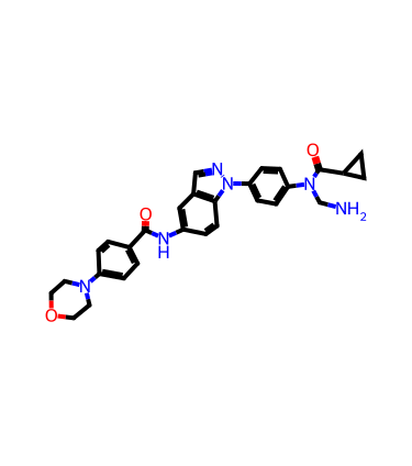 NCN(C(=O)C1CC1)c1ccc(-n2ncc3cc(NC(=O)c4ccc(N5CCOCC5)cc4)ccc32)cc1